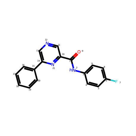 O=C(Nc1ccc(F)cc1)c1cncc(-c2ccccc2)n1